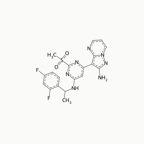 CC(Nc1cc(-c2c(N)nn3cccnc23)nc(S(C)(=O)=O)n1)c1ccc(F)cc1F